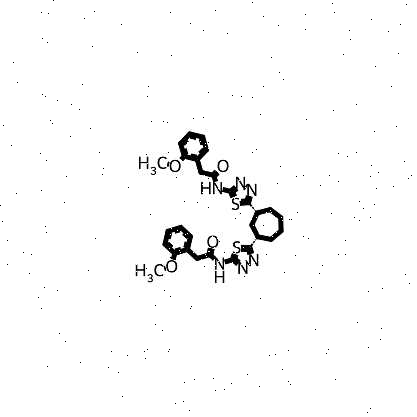 COc1ccccc1CC(=O)Nc1nnc([C@@H]2CCCC[C@H](c3nnc(NC(=O)Cc4ccccc4OC)s3)C2)s1